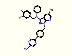 N#Cc1cnc2c(c1)c(N(Cc1ccc(F)c(F)c1)c1ccccc1)nn2Cc1ccc(-c2cnc(N)cn2)cc1